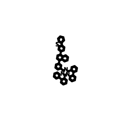 c1ccc(-c2ccccc2-c2nc(-c3cccc(-c4ccc(-c5ccc6c(c5)sc5ccccc56)c5ccccc45)c3)nc(-c3ccccc3-c3ccccc3)n2)cc1